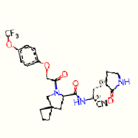 N#C[C@H](C[C@@H]1CCNC1=O)NC(=O)C1CC2(CCC2)CN1C(=O)COc1ccc(OC(F)(F)F)cc1